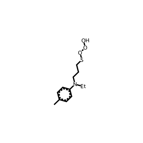 CCN(CCCSOOO)c1ccc(C)cc1